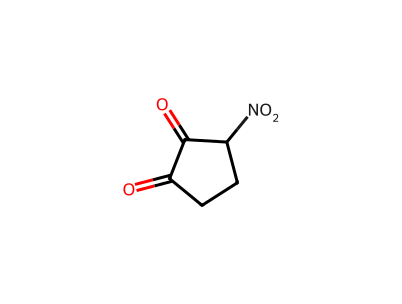 O=C1CCC([N+](=O)[O-])C1=O